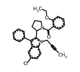 CC#CCn1c(C2CCCN2C(=O)c2ccccc2OCC)c(-c2ccccc2)c2cc(Cl)ccc21